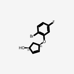 O[C@@H]1C=C[C@H](Oc2cc(F)ccc2Br)C1